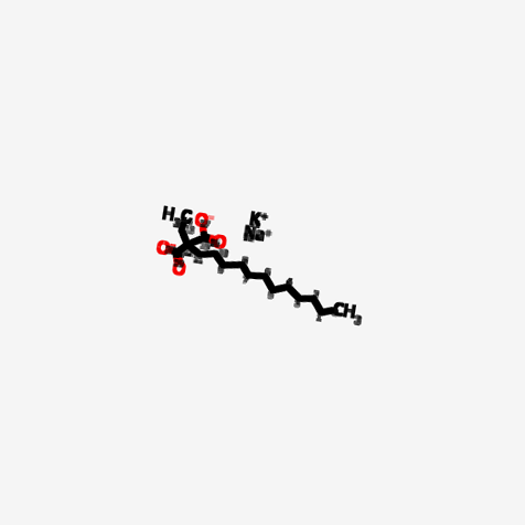 CCCCCCCCCCCCC(CC)(C(=O)[O-])C(=O)[O-].[K+].[Na+]